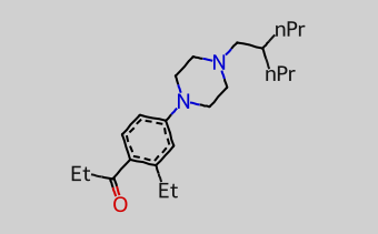 CCCC(CCC)CN1CCN(c2ccc(C(=O)CC)c(CC)c2)CC1